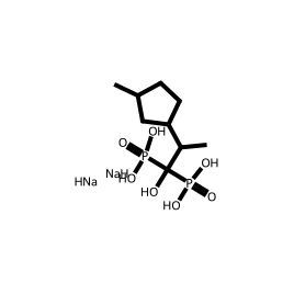 CC1CCC(C(C)C(O)(P(=O)(O)O)P(=O)(O)O)C1.[NaH].[NaH]